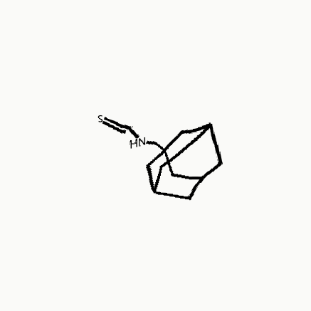 S=[C]NC12CC3CC(CC(C3)C1)C2